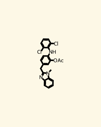 CC(=O)Oc1cc(Cc2nc3ccccc3n2C)ccc1Nc1c(Cl)cccc1Cl